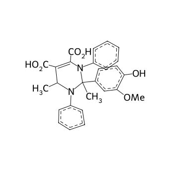 COc1cc(C2(C)N(c3ccccc3)C(C(=O)O)=C(C(=O)O)C(C)N2c2ccccc2)ccc1O